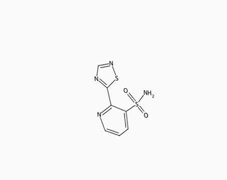 NS(=O)(=O)c1cccnc1-c1ncns1